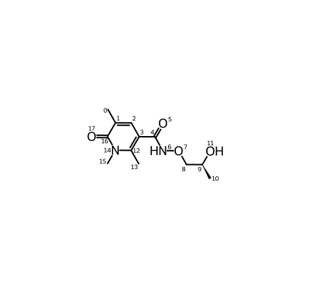 Cc1cc(C(=O)NOC[C@H](C)O)c(C)n(C)c1=O